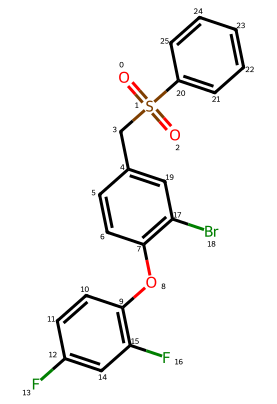 O=S(=O)(Cc1ccc(Oc2ccc(F)cc2F)c(Br)c1)c1ccccc1